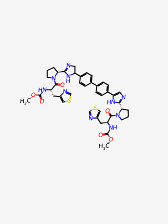 COC(=O)N[C@@H](Cc1cscn1)C(=O)N1CCC[C@H]1C1=NCC(c2ccc(-c3ccc(-c4cnc([C@@H]5CCCN5C(=O)[C@H](Cc5cscn5)NC(=O)OC)[nH]4)cc3)cc2)N1